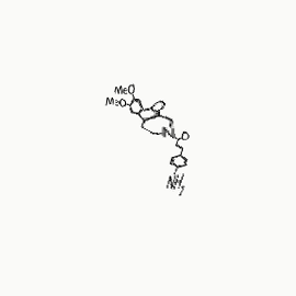 COc1cc2oc3c(c2cc1OC)CCN(C(=O)/C=C/c1ccc(N)cc1)C3